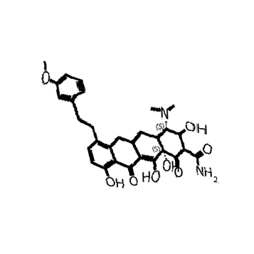 COc1cccc(CCc2ccc(O)c3c2CC2CC4[C@H](N(C)C)C(O)C(C(N)=O)C(=O)[C@@]4(O)C(O)=C2C3=O)c1